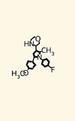 COc1ccc(-c2cc(C3COCCN3)c(C)n2-c2ccc(F)cc2)cc1